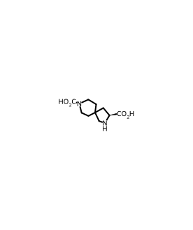 O=C(O)[C@@H]1CC2(CCN(C(=O)O)CC2)CN1